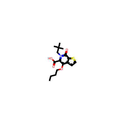 CCCCOc1c(C(=O)O)n(CC(C)(C)C)c(=O)c2sccc12